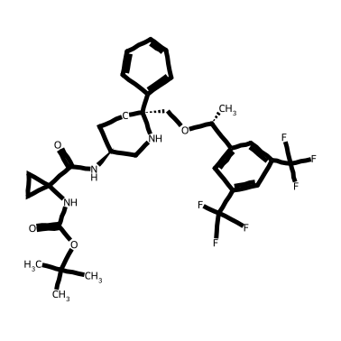 C[C@@H](OC[C@@]1(c2ccccc2)CC[C@H](NC(=O)C2(NC(=O)OC(C)(C)C)CC2)CN1)c1cc(C(F)(F)F)cc(C(F)(F)F)c1